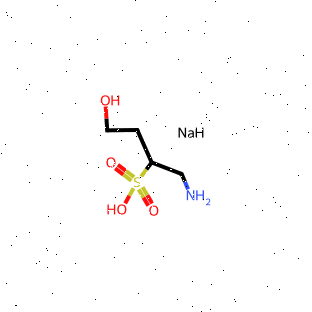 NCC(CCO)S(=O)(=O)O.[NaH]